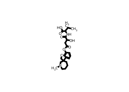 CCC1(c2cccc(OC(=O)CC(O)C(=O)NC(C(=O)O)C(C)C)c2)CCCCN(C)C1